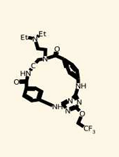 CCN(CC)CCN1CCNC(=O)c2ccc(cc2)Nc2nc(nc(OCC(F)(F)F)n2)Nc2ccc(cc2)C1=O